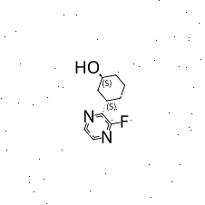 O[C@H]1CCC[C@H](c2nccnc2F)C1